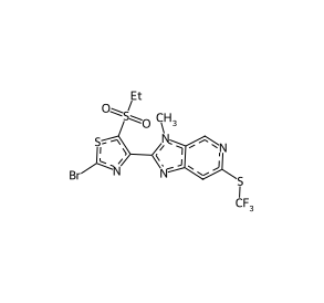 CCS(=O)(=O)c1sc(Br)nc1-c1nc2cc(SC(F)(F)F)ncc2n1C